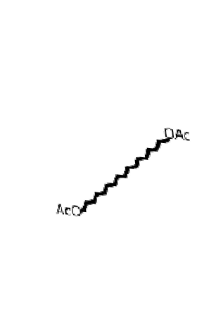 CC(=O)OCCCCCCCCCCCCCCCCCOC(C)=O